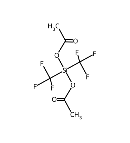 CC(=O)O[Si](OC(C)=O)(C(F)(F)F)C(F)(F)F